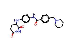 O=C1CCC(Nc2ccc(NC(=O)c3ccc(CN4CCCCC4)cc3)cc2)C(=O)N1